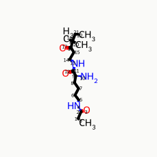 CCC(=O)NCCCC[C@H](N)C(=O)NCCC(=O)C(C)(C)CC